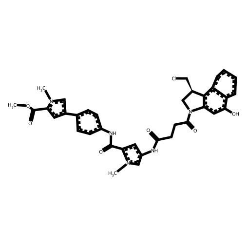 COC(=O)c1cc(-c2ccc(NC(=O)c3cc(NC(=O)CCC(=O)N4C[C@@H](CCl)c5c4cc(O)c4ccccc54)cn3C)cc2)cn1C